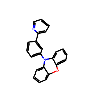 c1ccc(-c2cccc(N3c4ccccc4Oc4ccccc43)c2)nc1